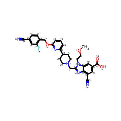 COCCn1c(CN2CCC(c3cccc(OCc4ccc(C#N)cc4F)n3)CC2)nc2c(C#N)cc(C(=O)O)cc21